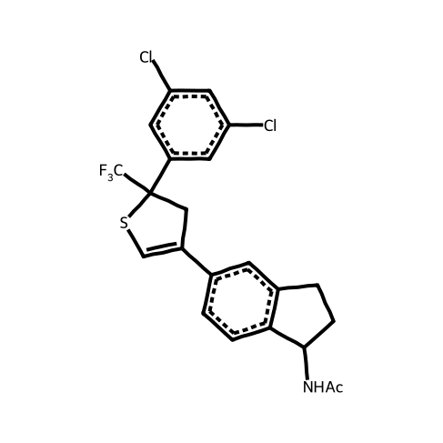 CC(=O)NC1CCc2cc(C3=CSC(c4cc(Cl)cc(Cl)c4)(C(F)(F)F)C3)ccc21